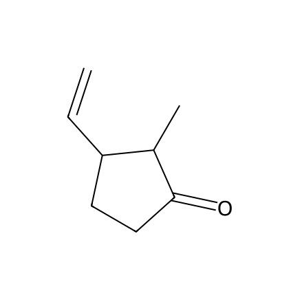 C=CC1CCC(=O)C1C